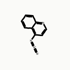 [N-]=[N+]=Nc1[c][c]nc2ccccc12